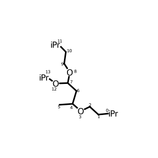 CC(C)CCOC(C)CC(OCCC(C)C)OC(C)C